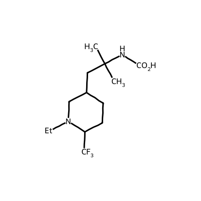 CCN1CC(CC(C)(C)NC(=O)O)CCC1C(F)(F)F